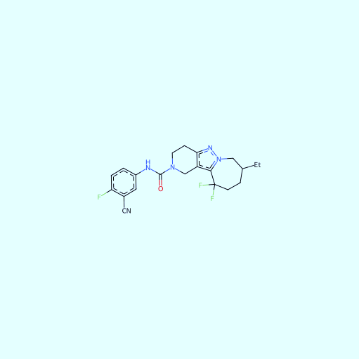 CCC1CCC(F)(F)c2c3c(nn2C1)CCN(C(=O)Nc1ccc(F)c(C#N)c1)C3